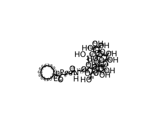 CCCCCC(CC)(C(=O)CCCCC(=O)NCCO[C@H]1OC(CO)[C@H](O[C@H]2OC(CO)[C@@H](O[C@@H]3OC(CO)[C@@H](O[C@@H]4OC(C(=O)O)[C@@H](O)C(O)C4O)C(O)C3O)C(O)C2O)C(O)C1O)C1CCCCCCCCCCCC1